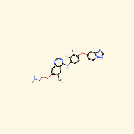 Cc1c(Oc2ccn3ncnc3c2)ccc(Nc2ncnc3cc(OCCN(C)C)c([N+](=O)[O-])cc23)c1F